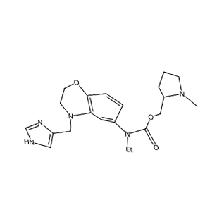 CCN(C(=O)OCC1CCCN1C)c1ccc2c(c1)N(Cc1c[nH]cn1)CCO2